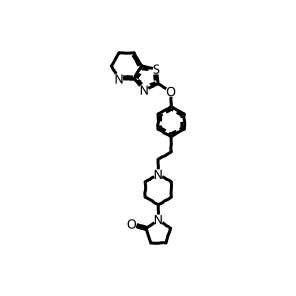 O=C1CCCN1C1CCN(CCc2ccc(Oc3nc4c(s3)=CCCN=4)cc2)CC1